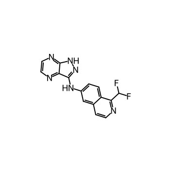 FC(F)c1nccc2cc(Nc3n[nH]c4nccnc34)ccc12